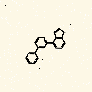 [CH]1C=Cc2c1cccc2-c1cccc(-c2ccccc2)c1